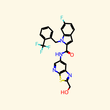 O=C(Nc1cnc2sc(CO)nc2c1)c1cc2ccc(F)cc2n1Cc1ccccc1C(F)(F)F